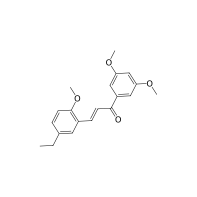 CCc1ccc(OC)c(/C=C/C(=O)c2cc(OC)cc(OC)c2)c1